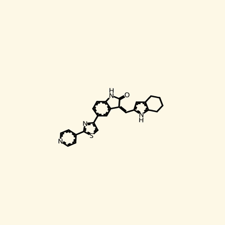 O=C1Nc2ccc(-c3csc(-c4ccncc4)n3)cc2/C1=C/c1cc2c([nH]1)CCCC2